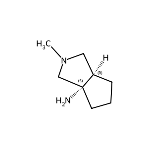 CN1C[C@H]2CCC[C@@]2(N)C1